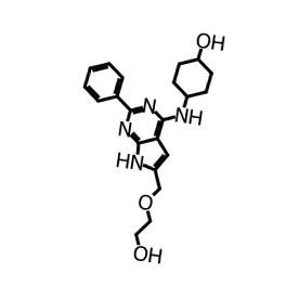 OCCOCc1cc2c(NC3CCC(O)CC3)nc(-c3ccccc3)nc2[nH]1